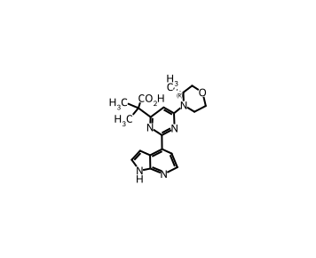 C[C@@H]1COCCN1c1cc(C(C)(C)C(=O)O)nc(-c2ccnc3[nH]ccc23)n1